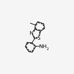 Cc1cccc2sc(-c3ccccc3N)nc12